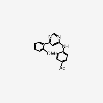 COc1ccccc1-c1cc(Nc2ccc(C(C)=O)cc2)ncn1